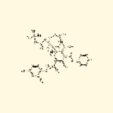 [2H]C([2H])([2H])OC1=NO[C@@]2(CC[C@H](C)N3C[C@H]2n2cc(C(=O)NCc4ccc(F)cc4F)c(=O)c(OCc4ccccc4)c2C3=O)C1